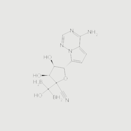 BC(B)(O)C1(C#N)O[C@@H](c2ccc3c(N)ncnn23)[C@H](O)[C@@H]1O